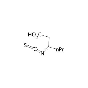 CCCC(CC(=O)O)N=C=S